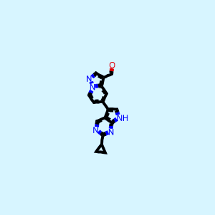 O=Cc1cnn2ccc(-c3c[nH]c4nc(C5CC5)ncc34)cc12